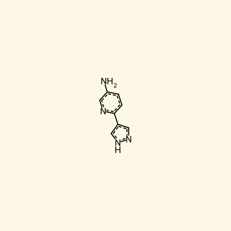 Nc1ccc(-c2cn[nH]c2)nc1